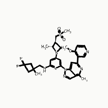 COc1ccncc1-c1cc2c(cnn2-c2cc(N3C[C@H](CS(C)(=O)=O)[C@H]3C)cc(NCC3(C)CC(F)(F)C3)n2)c(C)n1